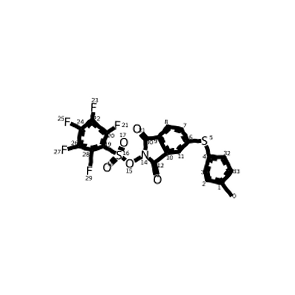 Cc1ccc(Sc2ccc3c(c2)C(=O)N(OS(=O)(=O)c2c(F)c(F)c(F)c(F)c2F)C3=O)cc1